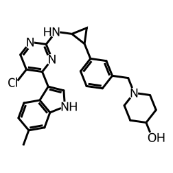 Cc1ccc2c(-c3nc(NC4CC4c4cccc(CN5CCC(O)CC5)c4)ncc3Cl)c[nH]c2c1